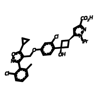 Cc1cccc(Cl)c1-c1noc(C2CC2)c1COc1ccc([C@]2(O)C[C@@H](c3cc(C(=O)O)nn3C(C)C)C2)c(Cl)c1